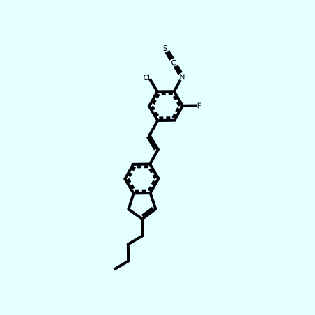 CCCCC1=Cc2cc(/C=C/c3cc(F)c(N=C=S)c(Cl)c3)ccc2C1